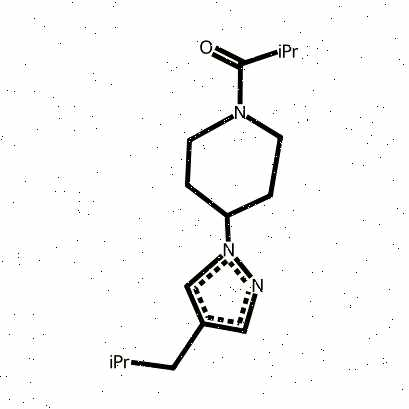 CC(C)Cc1cnn(C2CCN(C(=O)C(C)C)CC2)c1